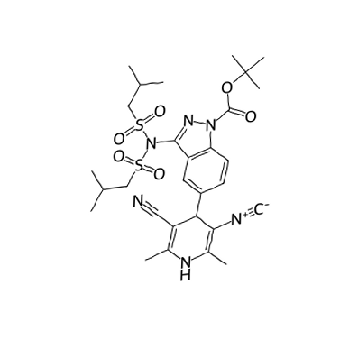 [C-]#[N+]C1=C(C)NC(C)=C(C#N)C1c1ccc2c(c1)c(N(S(=O)(=O)CC(C)C)S(=O)(=O)CC(C)C)nn2C(=O)OC(C)(C)C